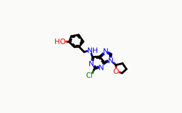 Oc1cccc(CNc2nc(Cl)nc3c2ncn3C2CCCO2)c1